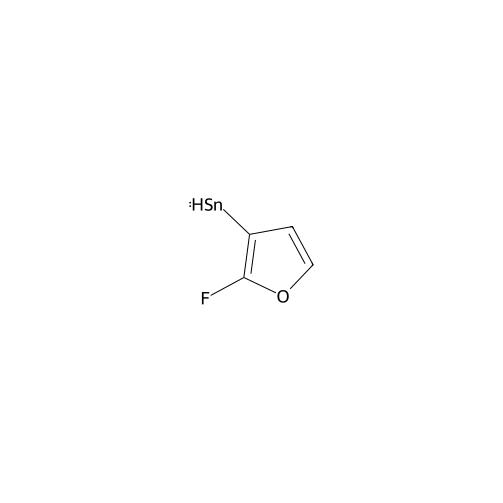 Fc1occ[c]1[SnH]